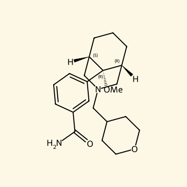 CO[C@@]1(c2cccc(C(N)=O)c2)[C@@H]2CCC[C@H]1CN(CC1CCOCC1)C2